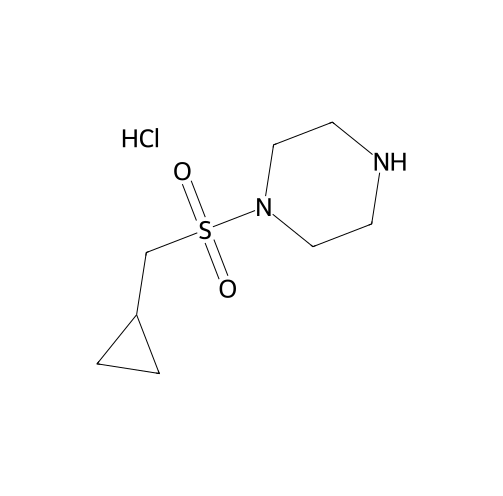 Cl.O=S(=O)(CC1CC1)N1CCNCC1